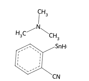 CN(C)C.N#Cc1cccc[c]1[SnH]